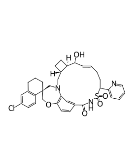 O=C1NS(=O)(=O)C(c2ccccn2)CC/C=C/C(O)[C@@H]2CC[C@H]2CN2C[C@@]3(CCCc4cc(Cl)ccc43)COc3ccc1cc32